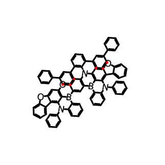 c1ccc(-c2cccc(-c3cccc(-c4cccc(-c5ccccc5)c4)c3N3c4cc5c(cc4B4c6ccccc6N(c6ccccc6)c6c4c3cc3oc4ccccc4c63)B3c4ccccc4N(c4ccccc4)c4c3c(cc3oc6ccccc6c43)O5)c2)cc1